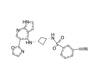 N#Cc1cccc(S(=O)(=O)N[C@H]2C[C@@H](Nc3c(-c4ncco4)cnc4[nH]ccc34)C2)c1